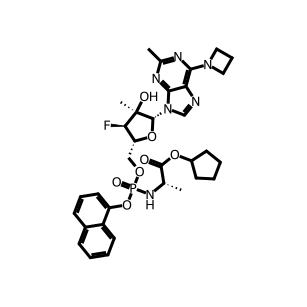 Cc1nc(N2CCC2)c2ncn([C@@H]3O[C@H](COP(=O)(N[C@@H](C)C(=O)OC4CCCC4)Oc4cccc5ccccc45)[C@@H](F)[C@@]3(C)O)c2n1